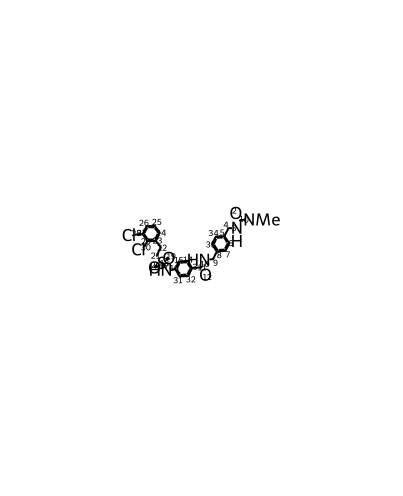 CNC(=O)NCc1ccc(CNC(=O)c2ccc(NS(=O)(=O)CCc3cccc(Cl)c3Cl)cc2)cc1